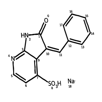 O=C1Nc2nccc(S(=O)(=O)O)c2C1=Cc1ccccc1.[Na]